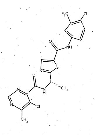 C[C@H](NC(=O)c1ncnc(N)c1Cl)c1ncc(C(=O)Nc2ccc(Cl)c(C(F)(F)F)c2)s1